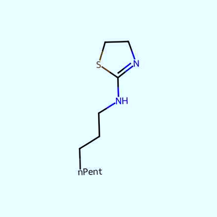 CCCCCCCCNC1=NCCS1